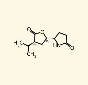 CC(C)[C@@H]1C[C@@H](C2CCC(=O)N2)OC1=O